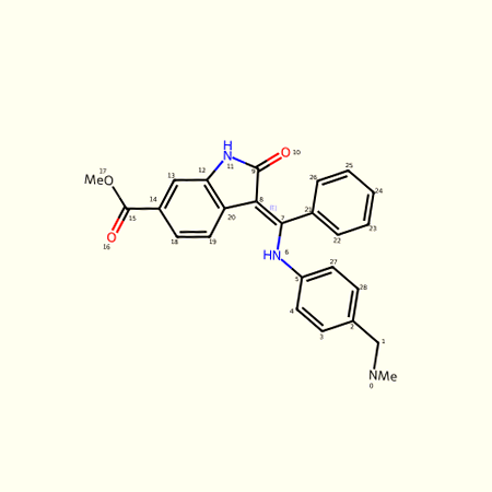 CNCc1ccc(N/C(=C2/C(=O)Nc3cc(C(=O)OC)ccc32)c2ccccc2)cc1